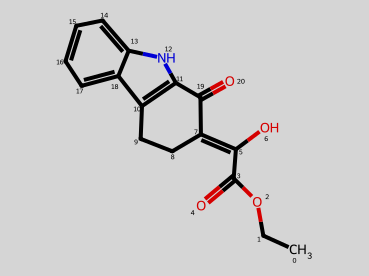 CCOC(=O)/C(O)=C1\CCc2c([nH]c3ccccc23)C1=O